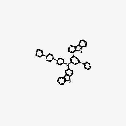 c1ccc(-c2ccc(-c3ccc(N(c4cc(-c5ccccc5)cc(-c5cccc6c5sc5ccccc56)c4)c4ccc5sc6ccccc6c5c4)cc3)cc2)cc1